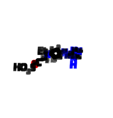 CCN(CCCOS(=O)(=O)O)c1ccc(/N=N/c2nnc[nH]2)cc1